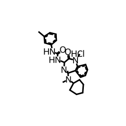 Cc1cccc(NC(=O)NC2N=C(N(C)C3CCCCC3)c3ccccc3N(C)C2=O)c1.Cl